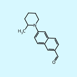 CC1CCCCN1c1ccc2cc(C=O)ccc2c1